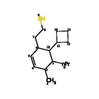 CCCC1C(C)C=CC(CCS)C1C1CCC1